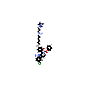 O=C(Oc1ccc(F)cc1)N1CCc2c([nH]c3ccc(Cl)cc23)C1c1ccc(OCCCCCCNCCCn2ccnc2)cc1